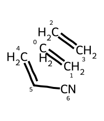 C=C.C=C.C=CC#N